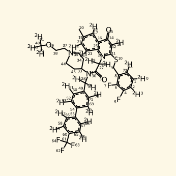 [2H]c1c([2H])c(F)c(F)c(CSc2c([2H])c(=O)c3c([2H])c(C)c([2H])c([2H])c3n2C([2H])([2H])C(=O)N(C2CCN(CCOC([2H])([2H])[2H])CC2)C([2H])([2H])c2c([2H])c([2H])c(-c3c([2H])c([2H])c(C(F)(F)F)c([2H])c3[2H])c([2H])c2[2H])c1[2H]